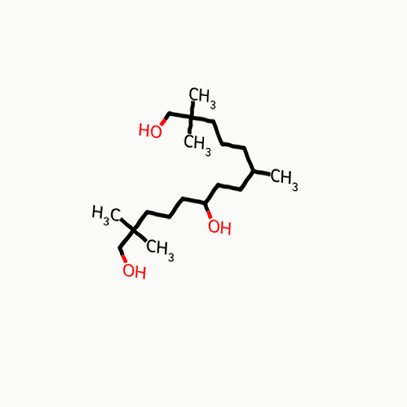 CC(CCCC(C)(C)CO)CCC(O)CCCC(C)(C)CO